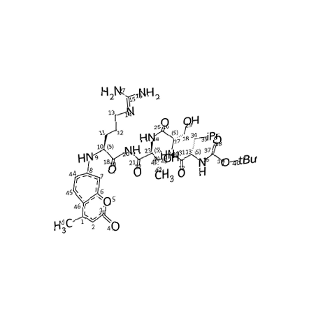 Cc1cc(=O)oc2cc(N[C@@H](CCCN=C(N)N)C(=O)NC(=O)[C@@H](NC(=O)[C@H](CO)NC(=O)[C@H](CC(C)C)NC(=O)OC(C)(C)C)[C@@H](C)O)ccc12